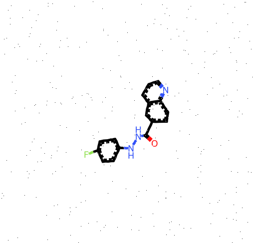 O=C(NNc1ccc(F)cc1)c1ccc2ncccc2c1